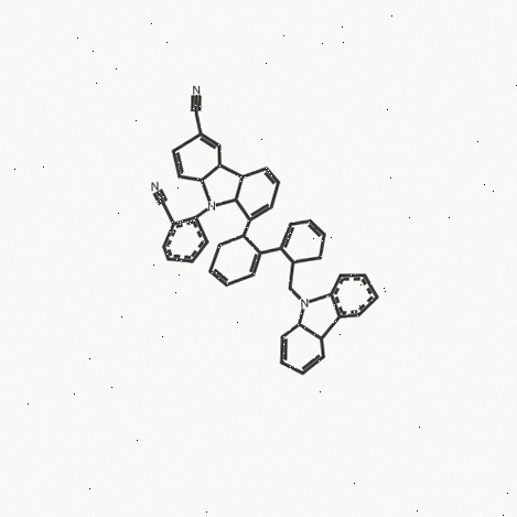 N#CC1=CC2C3C=CC=C(C4CC=CC=C4C4=CC=CCC4CN4c5ccccc5C5C=CC=CC54)C3N(c3ccccc3C#N)C2C=C1